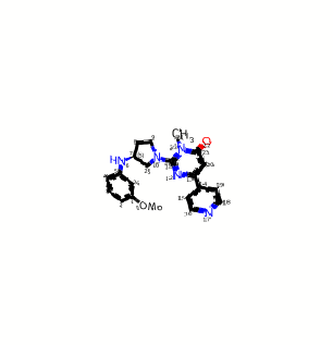 COc1cccc(N[C@H]2CCN(c3nc(-c4ccncc4)cc(=O)n3C)C2)c1